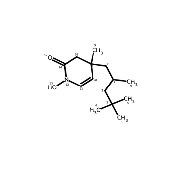 CC(CC(C)(C)C)CC1(C)C=CN(O)C(=O)C1